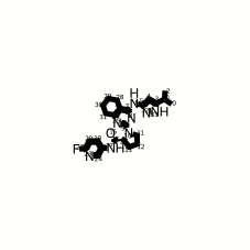 CC(C)c1cc(Nc2nc(N3CCC[C@H]3C(=O)Nc3ccc(F)nc3)nc3c2CCCC3)n[nH]1